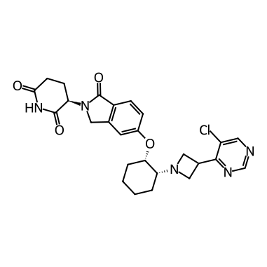 O=C1CC[C@@H](N2Cc3cc(O[C@H]4CCCC[C@H]4N4CC(c5ncncc5Cl)C4)ccc3C2=O)C(=O)N1